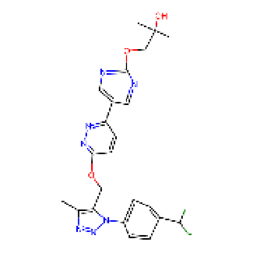 Cc1nnn(-c2ccc(C(F)F)cc2)c1COc1ccc(-c2cnc(OCC(C)(C)O)nc2)nn1